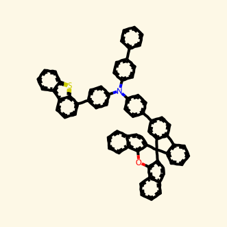 c1ccc(-c2ccc(N(c3ccc(-c4ccc5c(c4)C4(c6ccccc6-5)c5ccc6ccccc6c5Oc5c4ccc4ccccc54)cc3)c3ccc(-c4cccc5c4sc4ccccc45)cc3)cc2)cc1